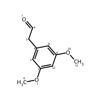 COc1cc(C[C]=O)cc(OC)c1